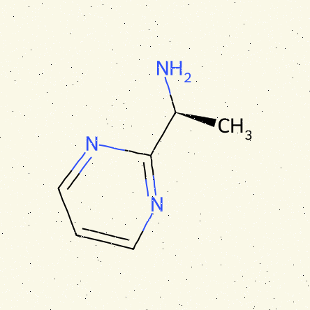 C[C@H](N)c1ncccn1